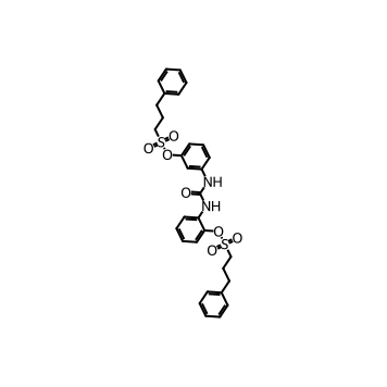 O=C(Nc1cccc(OS(=O)(=O)CCCc2ccccc2)c1)Nc1ccccc1OS(=O)(=O)CCCc1ccccc1